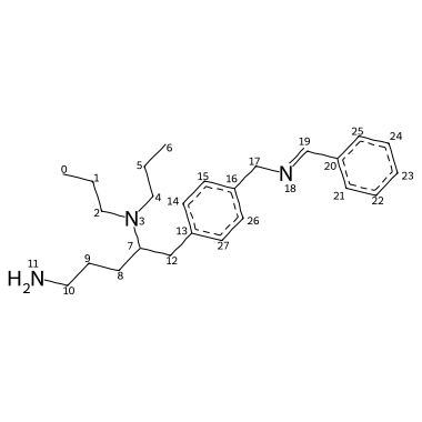 CCCN(CCC)C(CCCN)Cc1ccc(CN=Cc2ccccc2)cc1